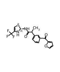 CC(C(=O)N[C@H]1NC(C(F)(F)F)=CS1)c1cccc(C(=O)c2ccco2)c1